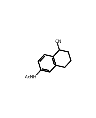 CC(=O)Nc1ccc2c(c1)CCCC2C#N